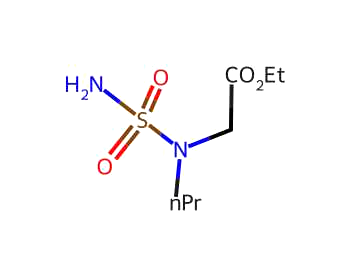 CCCN(CC(=O)OCC)S(N)(=O)=O